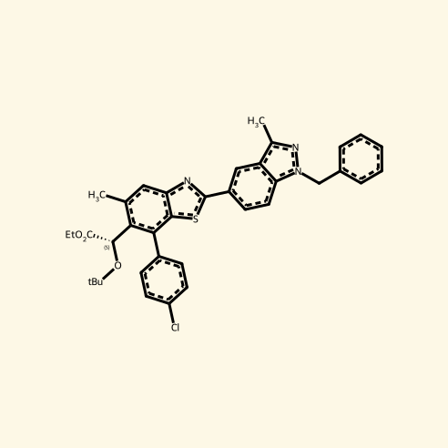 CCOC(=O)[C@@H](OC(C)(C)C)c1c(C)cc2nc(-c3ccc4c(c3)c(C)nn4Cc3ccccc3)sc2c1-c1ccc(Cl)cc1